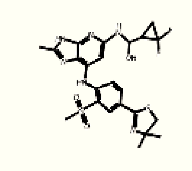 Cc1nc2c(Nc3ccc(C4=NC(C)(C)CS4)cc3S(C)(=O)=O)cc(NC(O)C3CC3(F)F)nc2[nH]1